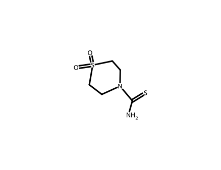 NC(=S)N1CCS(=O)(=O)CC1